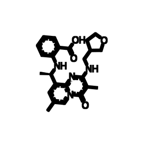 Cc1cc([C@@H](C)Nc2ccccc2C(=O)O)c2nc(NCC3CCOC3)c(C)c(=O)n2c1